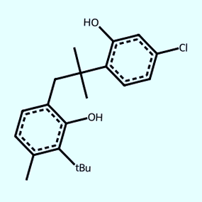 Cc1ccc(CC(C)(C)c2ccc(Cl)cc2O)c(O)c1C(C)(C)C